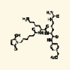 CC(=O)OCc1ccc(NC(=O)[C@H](CCCNC(N)=O)NC(=O)[C@H](CCCCN)NC(=O)CCCCCN2C(=O)C=CC2O)cc1